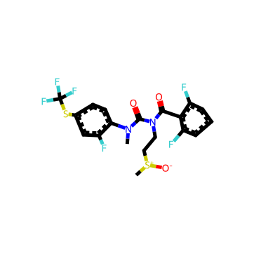 CN(C(=O)N(CC[S+](C)[O-])C(=O)c1c(F)cccc1F)c1ccc(SC(F)(F)F)cc1F